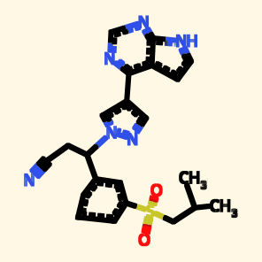 CC(C)CS(=O)(=O)c1cccc(C(CC#N)n2cc(-c3ncnc4[nH]ccc34)cn2)c1